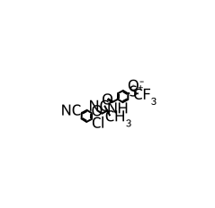 CC(C#N)(COc1cc(C#N)ccc1Cl)NC(=O)c1ccc([S+]([O-])C(F)(F)F)cc1